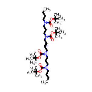 CCCCN(CCCN(C/C=C/CN(CCCN(CCCC)C(=O)OC(C)(C)C)C(=O)OC(C)(C)C)C(=O)OC(C)(C)C)C(=O)OC(C)(C)C